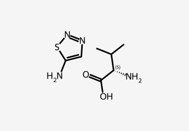 CC(C)[C@H](N)C(=O)O.Nc1cnns1